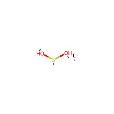 OSO.[Li]